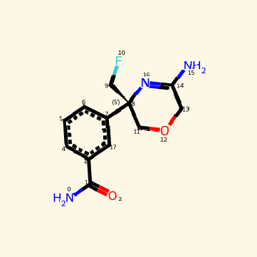 NC(=O)c1cccc([C@@]2(CF)COCC(N)=N2)c1